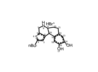 Br.CCCCc1cc2c(s1)CNC1CCc3cc(O)c(O)cc3C21